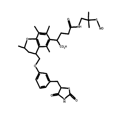 Cc1c(C)c(C(CCC(=O)NCC(C)(C)SN=O)C(=O)O)c(C)c2c1OC(C)CC2COc1cccc(CC2SC(=O)NC2=O)c1